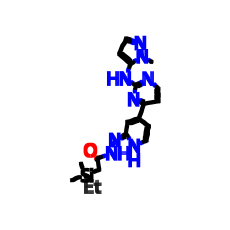 CC[Si](C)(C)CC(=O)N/N=c1/cc(-c2ccnc(Nc3ccnn3C)n2)cc[nH]1